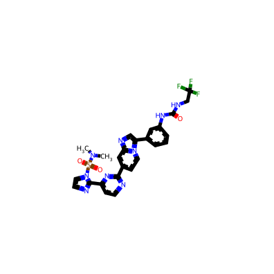 CN(C)S(=O)(=O)n1ccnc1-c1ccnc(-c2ccn3c(-c4cccc(NC(=O)NCC(F)(F)F)c4)cnc3c2)n1